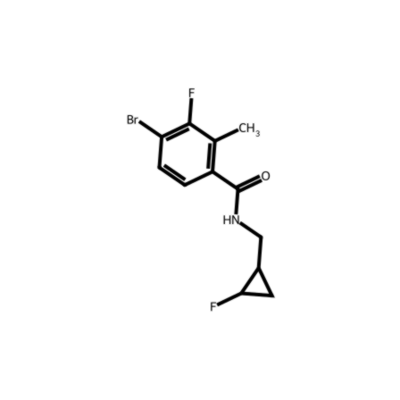 Cc1c(C(=O)NCC2CC2F)ccc(Br)c1F